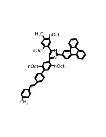 CCCCCCCCc1cc(-c2cc(-c3cc(CCCCCCCC)c(-c4ccc(/C=C/c5ccc(C)cc5)cc4)cc3CCCCCCCC)nc(-c3ccc4c5ccccc5c5ccccc5c4c3)n2)c(CCCCCCCC)cc1C